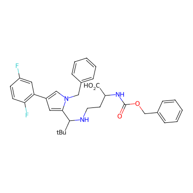 CC(C)(C)C(NCCC(NC(=O)OCc1ccccc1)C(=O)O)c1cc(-c2cc(F)ccc2F)cn1Cc1ccccc1